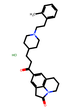 Cc1ccccc1CCN1CCC(CCC(=O)c2cc3c4c(c2)CC(=O)N4CCC3)CC1.Cl